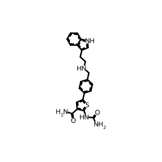 NC(=O)Nc1sc(-c2ccc(CNCCc3c[nH]c4ccccc34)cc2)cc1C(N)=O